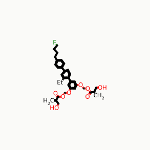 C=C(CO)C(=O)OCOc1cc(OCOC(=O)C(=C)CO)cc(-c2ccc(-c3ccc(CCCCF)cc3)cc2CC)c1